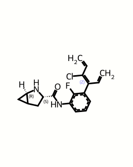 C=C/C(Cl)=C(\C=C)c1cccc(NC(=O)[C@@H]2CC3C[C@H]3N2)c1F